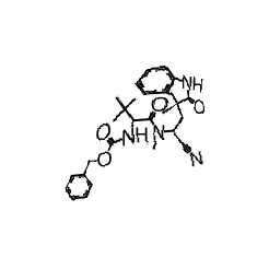 CN(C(=O)[C@@H](NC(=O)OCc1ccccc1)C(C)(C)C)[C@H](C#N)C[C@@]1(C)C(=O)Nc2ccccc21